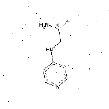 C[C@@H](N)CNc1ccncc1